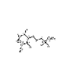 CCOC(C)N(CCC[Si](C)(C)OC)C(C)OCC